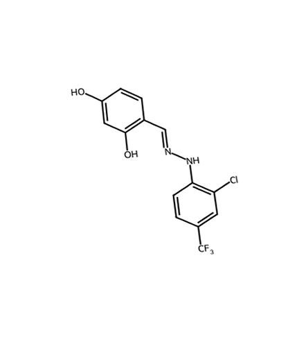 Oc1ccc(C=NNc2ccc(C(F)(F)F)cc2Cl)c(O)c1